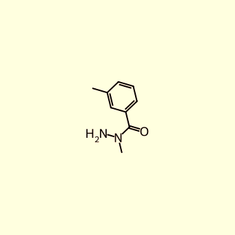 Cc1cccc(C(=O)N(C)N)c1